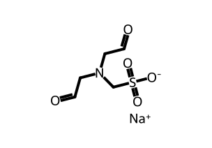 O=CCN(CC=O)CS(=O)(=O)[O-].[Na+]